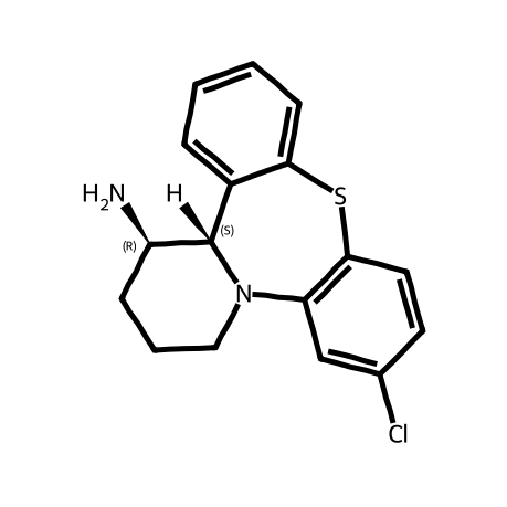 N[C@@H]1CCCN2c3cc(Cl)ccc3Sc3ccccc3[C@@H]12